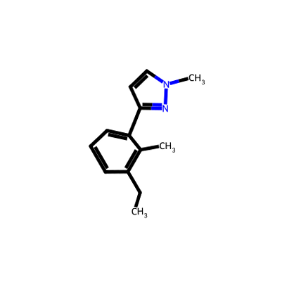 CCc1cccc(-c2ccn(C)n2)c1C